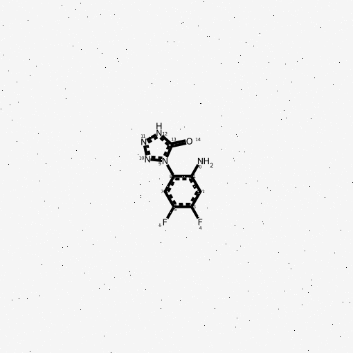 Nc1cc(F)c(F)cc1-n1nn[nH]c1=O